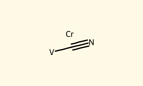 N#[C][V].[Cr]